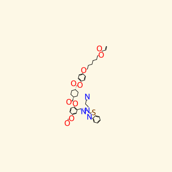 C=CC(=O)OCCCCCCOc1ccc(OC(=O)[C@H]2CC[C@H](C(=O)Oc3ccc(OC=O)cc3/C=N/N(CCC#N)c3nc4ccccc4s3)CC2)cc1